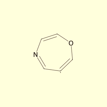 [C]1=COC=CN=C1